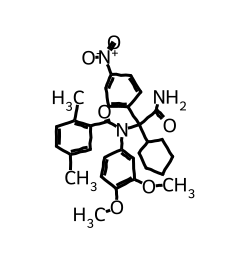 COc1ccc(N(C(=O)c2cc(C)ccc2C)C(C(N)=O)(c2ccc([N+](=O)[O-])cc2)C2CCCCC2)cc1OC